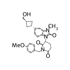 COc1ccc(CN2C(=O)CCC(n3c(=O)n(C)c4cc([C@H]5C[C@H](CO)C5)ccc43)C2=O)cc1